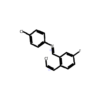 Fc1ccc(/C=C\Cl)c(/C=N/c2ccc(Cl)cc2)c1